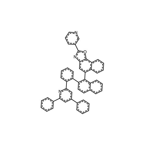 c1ccc(-c2cc(-c3ccccc3)nc(-c3ccccc3-c3ccc4ccccc4c3-c3cc4nc(-c5cccnc5)oc4c4ccccc34)c2)cc1